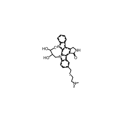 CN(C)CCSCc1ccc2c(c1)c1c3c(c4c5ccccc5n5c4c1n2CC(O)C(O)C5)CNC3=O